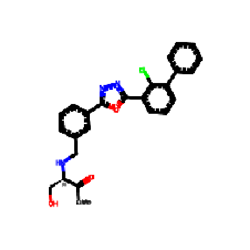 COC(=O)[C@H](CO)NCc1cccc(-c2nnc(-c3cccc(-c4ccccc4)c3Cl)o2)c1